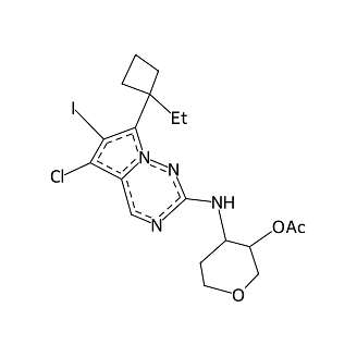 CCC1(c2c(I)c(Cl)c3cnc(NC4CCOCC4OC(C)=O)nn23)CCC1